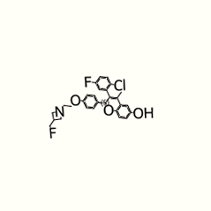 CC1=C(c2cc(F)ccc2Cl)[C@H](c2ccc(OCCN3CC(CF)C3)cc2)Oc2ccc(O)cc21